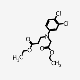 CCOC(=O)CCN(CC(=O)OCC)c1ccc(Cl)c(Cl)c1